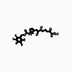 O=C(CCCNC(=O)Cc1csc(NC(=O)OCc2c(F)c(F)c(F)c(F)c2F)n1)NO